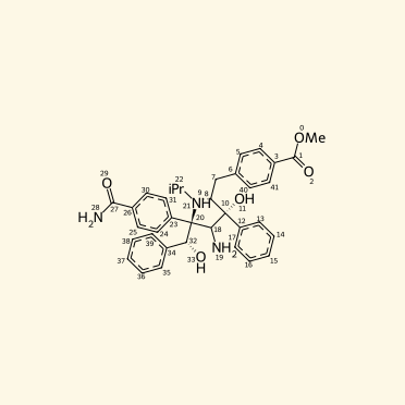 COC(=O)c1ccc(C[C@@H](C)[C@@](O)(c2ccccc2)C(N)[C@@](NC(C)C)(c2ccc(C(N)=O)cc2)[C@H](O)c2ccccc2)cc1